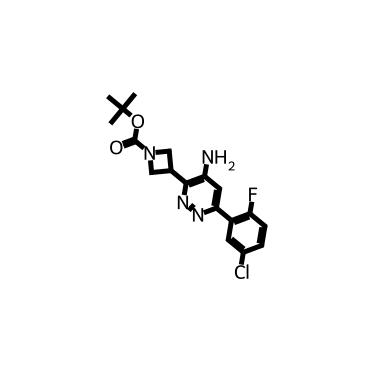 CC(C)(C)OC(=O)N1CC(c2nnc(-c3cc(Cl)ccc3F)cc2N)C1